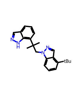 CC(C)(C)c1cccc2c1cnn2CC(C)(C)c1cccc2cn[nH]c12